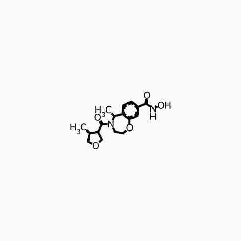 CC1COCC1C(=O)N1CCOc2cc(C(=O)NO)ccc2C1C